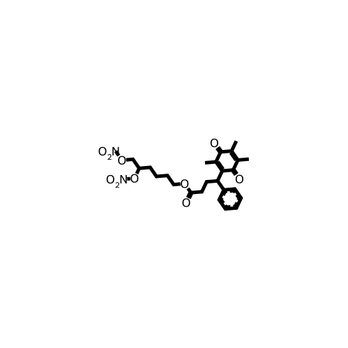 CC1=C(C)C(=O)C(C(CCC(=O)OCCCCC(CO[N+](=O)[O-])O[N+](=O)[O-])c2ccccc2)=C(C)C1=O